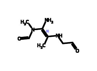 C/C(NCC=O)=C(/N)N(C)C=O